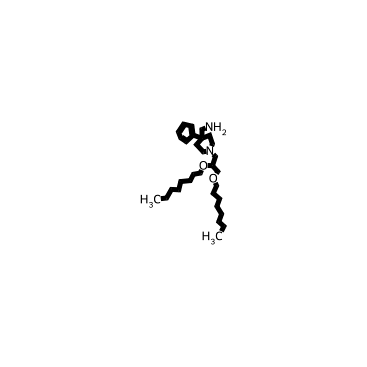 CCCCCCCCOCC(CN1CCC(CN)(c2ccccc2)CC1)OCCCCCCCC